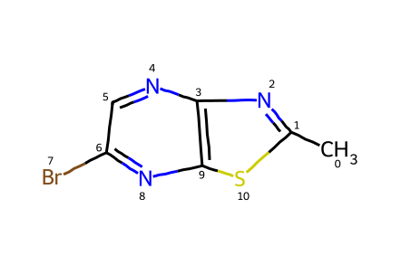 Cc1nc2ncc(Br)nc2s1